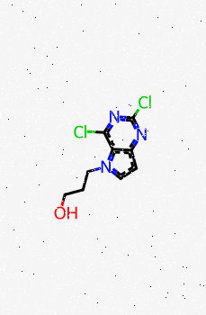 OCCCn1ccc2nc(Cl)nc(Cl)c21